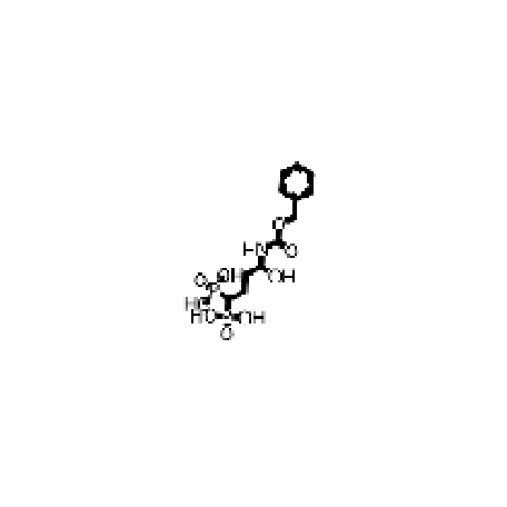 O=C(NC(O)CCC(P(=O)(O)O)P(=O)(O)O)OCc1ccccc1